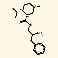 CC(C)[C@@H]1CC[C@@H](C)C[C@H]1C(=O)NCC(N)Cc1ccccc1